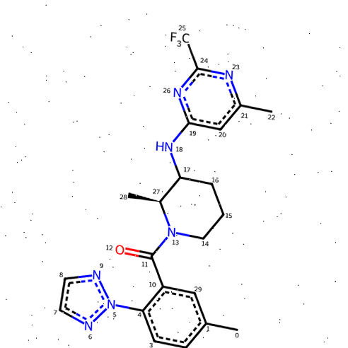 Cc1ccc(-n2nccn2)c(C(=O)N2CCCC(Nc3cc(C)nc(C(F)(F)F)n3)[C@@H]2C)c1